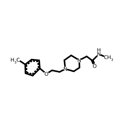 CNC(=O)CN1CCN(CCOc2ccc(C)cc2)CC1